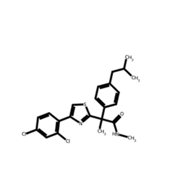 CNC(=O)C(C)(c1ccc(CC(C)C)cc1)c1nc(-c2ccc(Cl)cc2Cl)cs1